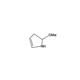 COC1CC=CN1